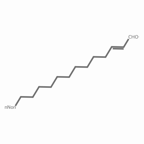 CCCCCCCCCCCCCCCCCCCC=C[C]=O